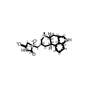 CN1C[C@H](C[N+]2([O-])CC(=O)NC2=O)C[C@@H]2c3cccc4[nH]cc(c34)C[C@H]21